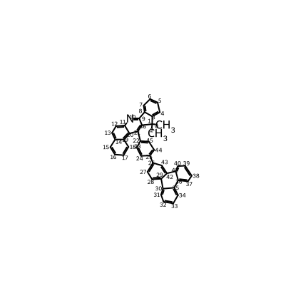 CC1(C)c2ccccc2-c2nc3ccc4ccccc4c3c(-c3ccc(-c4ccc5c6ccccc6c6ccccc6c5c4)cc3)c21